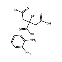 Nc1ccccc1N.O=C(O)CC(O)(CC(=O)O)C(=O)O